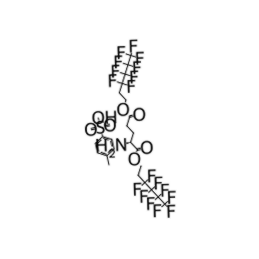 Cc1ccc(S(=O)(=O)O)cc1.N[C@@H](CCC(=O)OCCC(F)(F)C(F)(F)C(F)(F)C(F)(F)F)C(=O)OCCC(F)(F)C(F)(F)C(F)(F)C(F)(F)F